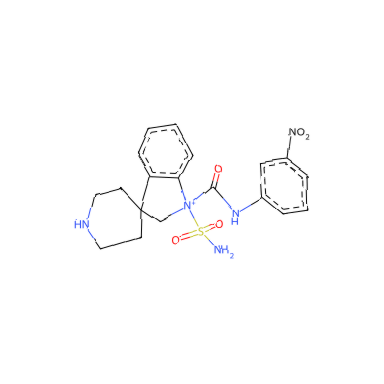 NS(=O)(=O)[N+]1(C(=O)Nc2cccc([N+](=O)[O-])c2)CC2(CCNCC2)c2ccccc21